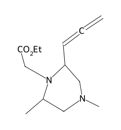 C=C=CC1CN(C)CC(C)N1CC(=O)OCC